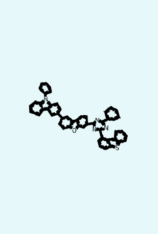 c1ccc(-c2nc(-c3ccc4c(c3)oc3ccc(-c5ccc6c(c5)c5ccccc5n6-c5ccccc5)cc34)nc(-c3cccc4sc5ccccc5c34)n2)cc1